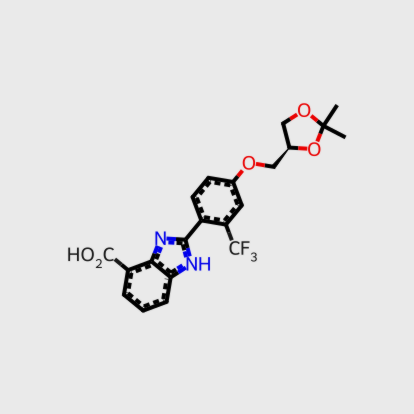 CC1(C)OC[C@H](COc2ccc(-c3nc4c(C(=O)O)cccc4[nH]3)c(C(F)(F)F)c2)O1